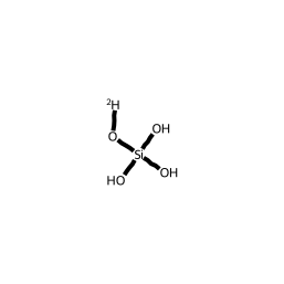 [2H]O[Si](O)(O)O